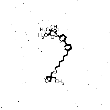 C=C1OB(c2ccc(-c3ccc(CCCCCCOCC4(CC)COC4)s3)s2)OC1(C)C